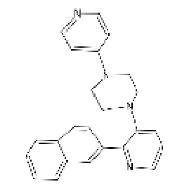 c1cnc(-c2ccc3ccccc3c2)c(N2CCN(c3ccncc3)CC2)c1